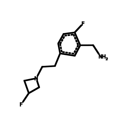 NCc1cc(CCN2CC(F)C2)ccc1F